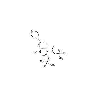 COc1nc(N2CCOCC2)cnc1N(C(=O)OC(C)(C)C)C(=O)OC(C)(C)C